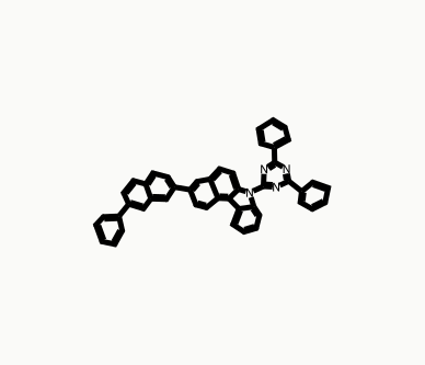 c1ccc(-c2ccc3ccc(-c4ccc5c(ccc6c5c5ccccc5n6-c5nc(-c6ccccc6)nc(-c6ccccc6)n5)c4)cc3c2)cc1